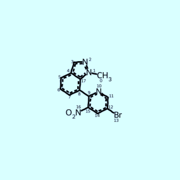 Cn1ncc2cccc(-c3ncc(Br)cc3[N+](=O)[O-])c21